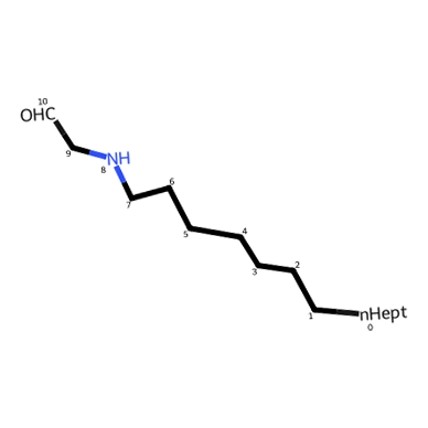 CCCCCCCCCCCCCCNCC=O